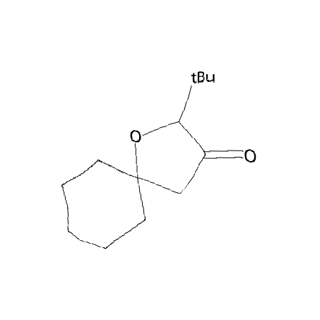 CC(C)(C)C1OC2(CCCCC2)CC1=O